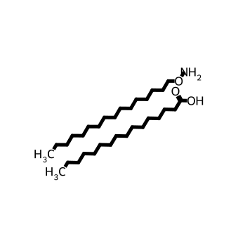 CCCCCCCCCCCCCCCC(=O)O.CCCCCCCCCCCCCCCCON